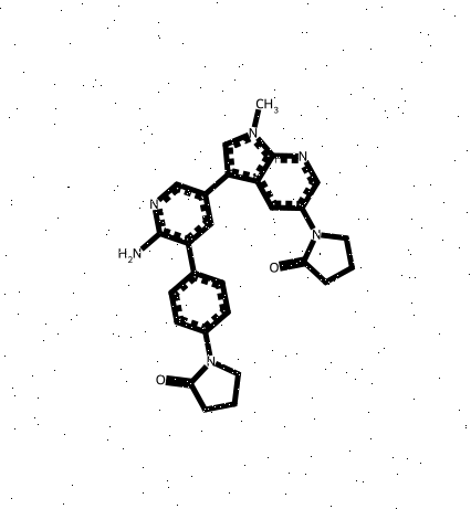 Cn1cc(-c2cnc(N)c(-c3ccc(N4CCCC4=O)cc3)c2)c2cc(N3CCCC3=O)cnc21